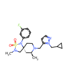 C[C@H]1C[C@]2(CCN1Cc1ccnn1CC1CC1)CN(C)S(=O)(=O)N2c1cccc(F)c1